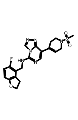 CS(=O)(=O)N1CC=C(c2cnc(NCc3c(F)ccc4c3CCO4)n3cnnc23)CC1